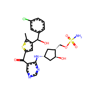 Cc1sc(C(=O)c2cncnc2N[C@@H]2C[C@H](COS(N)(=O)=O)[C@@H](O)C2)cc1C(O)c1cccc(Cl)c1